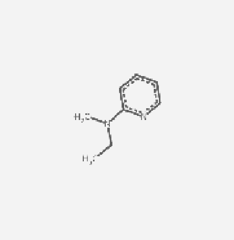 [CH2]N(CC)c1ccccn1